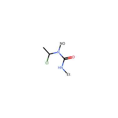 [CH2]CNC(=O)N(N=O)C(C)Cl